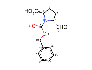 O=C[C@H]1CC[C@H](C(=O)O)N1C(=O)OCc1ccccc1